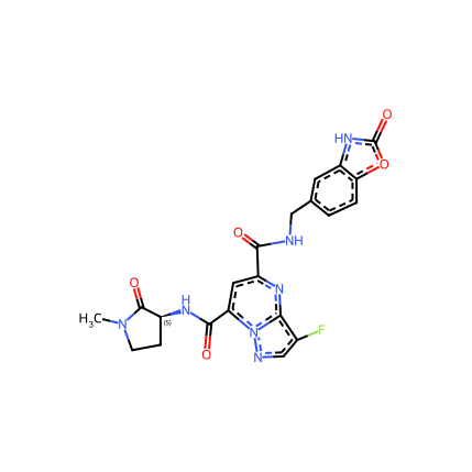 CN1CC[C@H](NC(=O)c2cc(C(=O)NCc3ccc4oc(=O)[nH]c4c3)nc3c(F)cnn23)C1=O